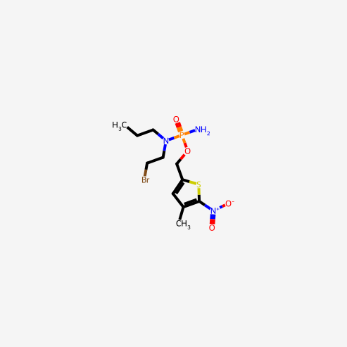 CCCN(CCBr)P(N)(=O)OCc1cc(C)c([N+](=O)[O-])s1